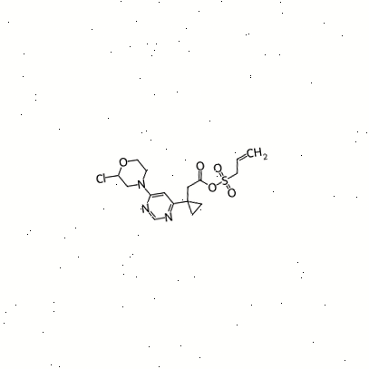 C=CCS(=O)(=O)OC(=O)CC1(c2cc(N3CCOC(Cl)C3)ncn2)CC1